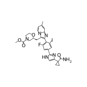 COC(=O)N1CCO[C@@H](Cc2c(-c3c(F)cc(-c4nc(C5(C(N)=O)CC5)c[nH]4)cc3I)nc3cc(C)ccn23)C1